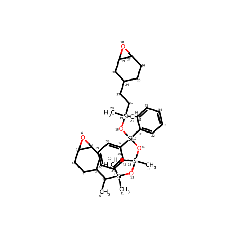 CC(C1CCC2OC2C1)[Si](C)(C)O[Si](C)(C)O[Si](O[Si](C)(C)CCC1CCC2OC2C1)(c1ccccc1)c1ccccc1